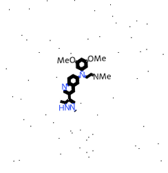 CNCCN(c1cc(OC)cc(OC)c1)c1ccc2ncc(C3=CN(C)NC3C)cc2c1